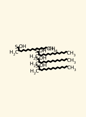 C.C=C(CCCCCCCCCCCCC)C(O)=S.C=C(CCCCCCCCCCCCC)C(O)=S.C=C(CCCCCCCCCCCCC)C(O)=S.C=C(CCCCCCCCCCCCC)C(O)=S